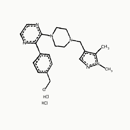 Cc1c(CN2CCN(c3nccnc3-c3ccc(CCl)cc3)CC2)cnn1C.Cl.Cl